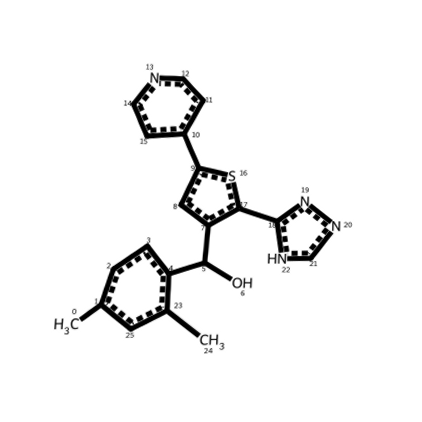 Cc1ccc(C(O)c2cc(-c3ccncc3)sc2-c2nnc[nH]2)c(C)c1